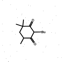 CC1CC(C)(C)C(=O)C(C(C)(C)C)C1=O